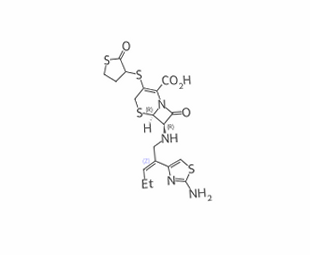 CC/C=C(/CN[C@@H]1C(=O)N2C(C(=O)O)=C(SC3CCSC3=O)CS[C@H]12)c1csc(N)n1